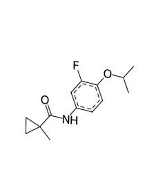 CC(C)Oc1ccc(NC(=O)C2(C)CC2)cc1F